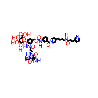 O=C(/C=C/c1cccnc1)NCCCCC1CCN(C(=O)c2cccc(NC(=O)OCc3ccc(OC4OC(C(=O)O)C(O)[C@H](O)[C@@H]4O)c(NC(=O)CCNC(=O)C4(NC(=O)CI)CNC4)c3)c2)CC1